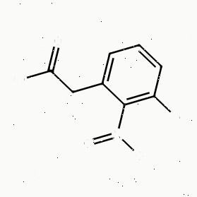 O=C(O)Cc1cccc(O)c1[N+](=O)[O-]